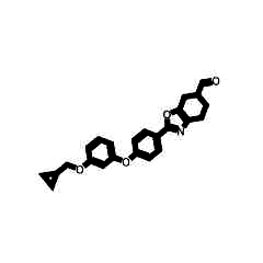 O=CC1CCc2nc(-c3ccc(Oc4cccc(OCC5CC5)c4)cc3)oc2C1